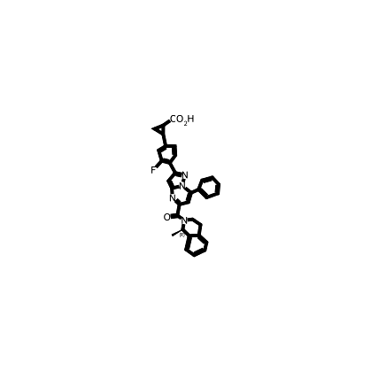 C[C@@H]1c2ccccc2CCN1C(=O)c1cc(-c2ccccc2)n2nc(-c3ccc(C4CC4C(=O)O)cc3F)cc2n1